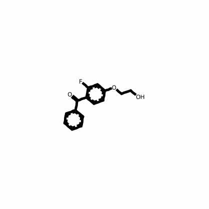 O=C(c1ccccc1)c1ccc(OCCO)cc1F